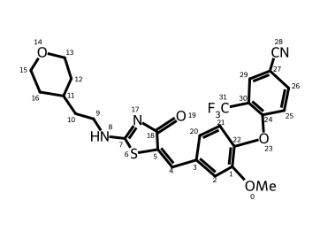 COc1cc(C=C2SC(NCCC3CCOCC3)=NC2=O)ccc1Oc1ccc(C#N)cc1C(F)(F)F